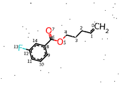 C=CCCCOC(=O)c1cccc(F)c1